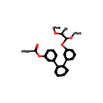 CCCCCCCC(=O)Oc1cccc(-c2ccccc2-c2cccc(OC(OCCCCC)[C@H](CC)OCCCCC)c2)c1